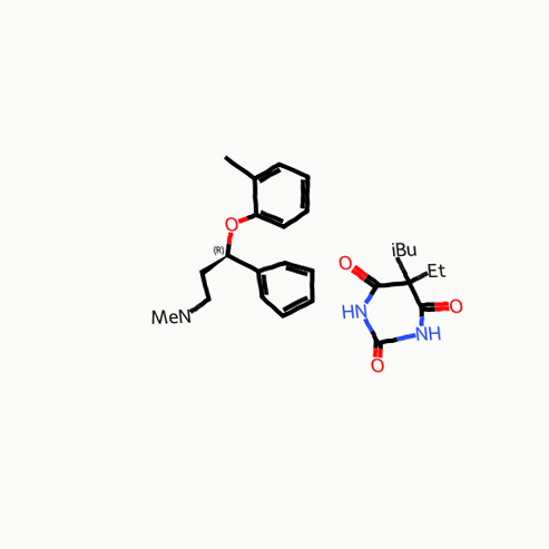 CCC(C)C1(CC)C(=O)NC(=O)NC1=O.CNCC[C@@H](Oc1ccccc1C)c1ccccc1